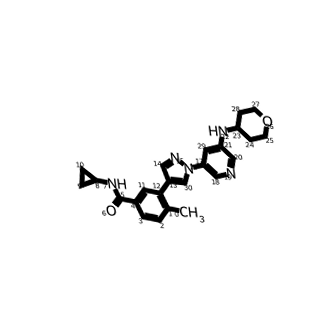 Cc1ccc(C(=O)NC2CC2)cc1-c1cnn(-c2cncc(NC3CCOCC3)c2)c1